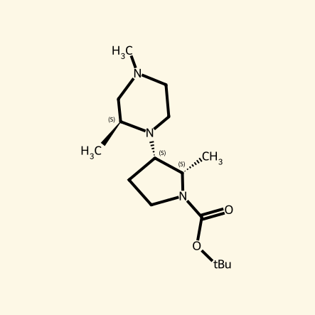 C[C@H]1[C@@H](N2CCN(C)C[C@@H]2C)CCN1C(=O)OC(C)(C)C